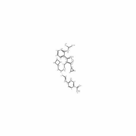 O=C(O)c1ccc(/N=C/C[C@H](CC2CCC2)OCc2c(-c3ccccc3OC(F)F)noc2C2CC2)nc1